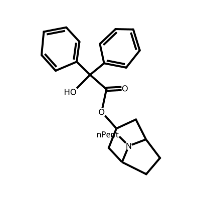 CCCCCN1C2CCC1CC(OC(=O)C(O)(c1ccccc1)c1ccccc1)C2